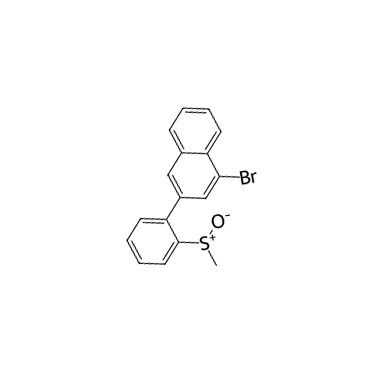 C[S+]([O-])c1ccccc1-c1cc(Br)c2ccccc2c1